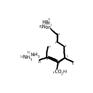 Br.CCCCCCCCCCCCC(C)C(C(=O)O)=C(C)C.N.N